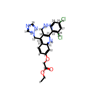 CCOC(=O)COc1ccc2c(Cn3cncn3)c(CN)c(-c3ccc(Cl)cc3Cl)nc2c1